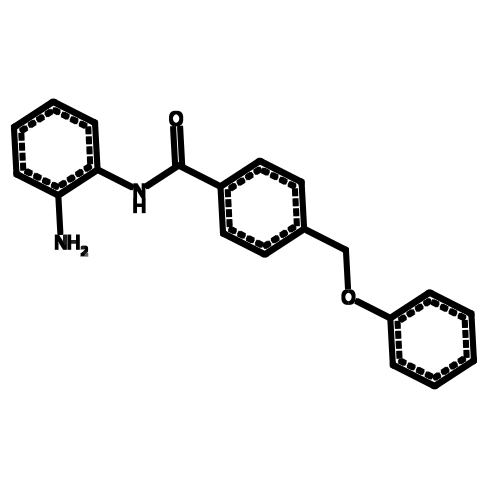 Nc1ccccc1NC(=O)c1ccc(COc2ccccc2)cc1